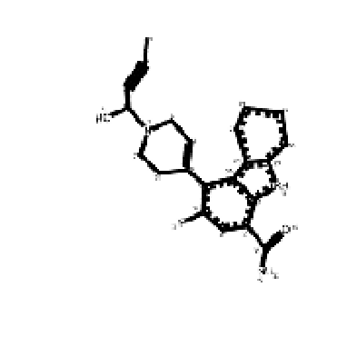 CC#CC(O)N1CC=C(c2c(F)cc(C(N)=O)c3[nH]c4ccccc4c23)CC1